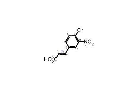 O=C(O)/C=C/c1ccc(Cl)c([N+](=O)[O-])c1